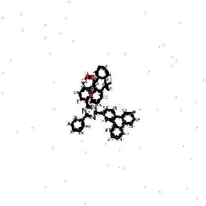 CC1(C)c2ccccc2C2(c3ccccc3Sc3ccc(-c4nc(-c5ccccc5)nc(-c5ccc6c7ccccc7c7ccccc7c6c5)n4)cc32)c2ccccc21